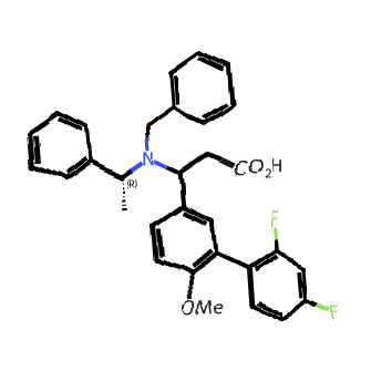 COc1ccc(C(CC(=O)O)N(Cc2ccccc2)[C@H](C)c2ccccc2)cc1-c1ccc(F)cc1F